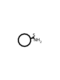 NC(=S)C1CCCCCCCCCCCCC1